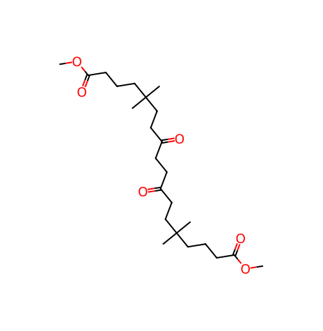 COC(=O)CCCC(C)(C)CCC(=O)CCC(=O)CCC(C)(C)CCCC(=O)OC